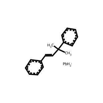 CC(C)(C=Cc1ccccc1)c1ccccc1.[PbH2]